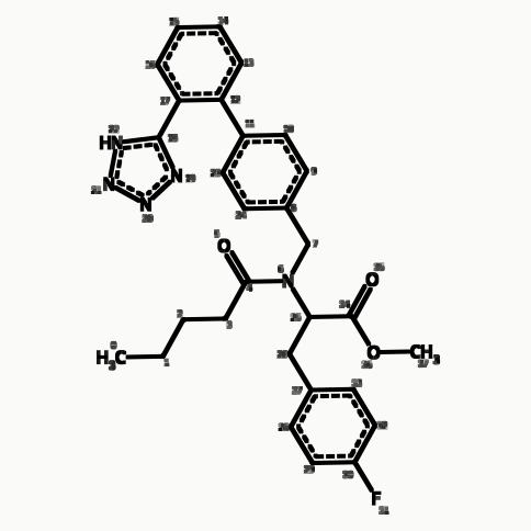 CCCCC(=O)N(Cc1ccc(-c2ccccc2-c2nnn[nH]2)cc1)C(Cc1ccc(F)cc1)C(=O)OC